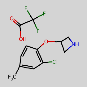 FC(F)(F)c1ccc(OC2CNC2)c(Cl)c1.O=C(O)C(F)(F)F